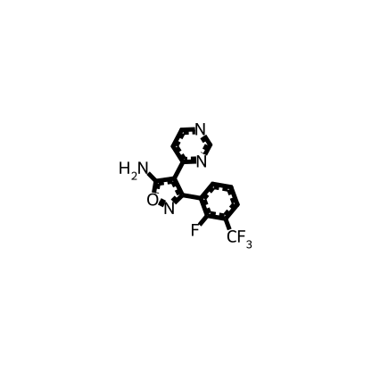 Nc1onc(-c2cccc(C(F)(F)F)c2F)c1-c1ccncn1